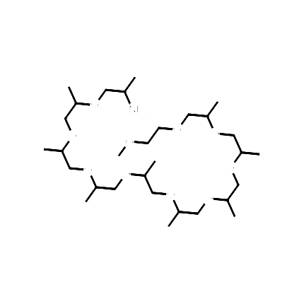 COCCOCC(C)OCC(C)OCC(C)OCC(C)OCC(C)OCC(C)OCC(C)OCC(C)OCC(C)N